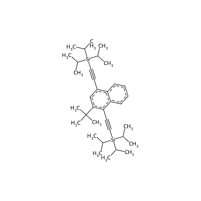 CC(C)[Si](C#Cc1cc(C(C)(C)C)c(C#C[Si](C(C)C)(C(C)C)C(C)C)c2ccccc12)(C(C)C)C(C)C